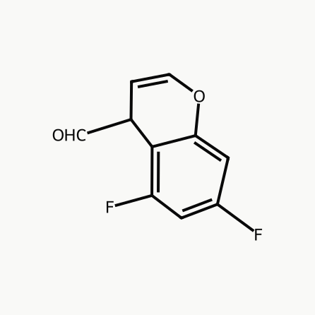 O=CC1C=COc2cc(F)cc(F)c21